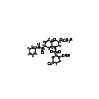 COc1ccc(Cl)cc1S(=O)(=O)N1CC(OC(=O)O)Oc2ccc(C(=O)Nc3ccccc3)cc21